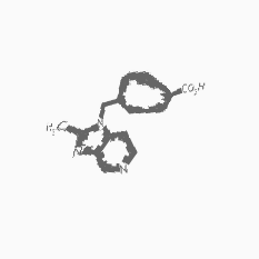 Cc1nc2cnccc2n1Cc1ccc(C(=O)O)cc1